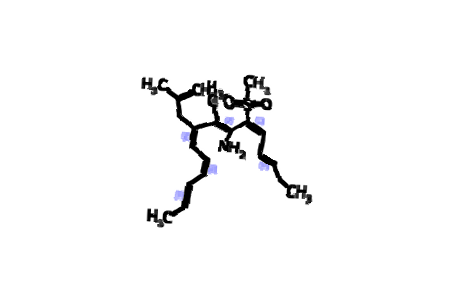 C=C(C)CC(=C/C=C\C=C\C)/C(C)=C(N)/C(=C\C=C\CC)S(C)(=O)=O